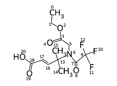 CCOC(=O)CN(C(=O)C(F)(F)F)C(C)(C)C=CC(=O)O